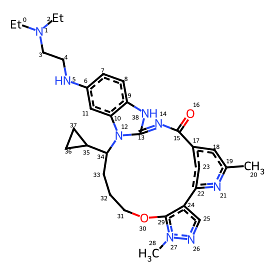 CCN(CC)CCNc1ccc2c(c1)N1/C(=N/C(=O)c3cc(C)nc(c3)-c3cnn(C)c3OCCCC1C1CC1)N2